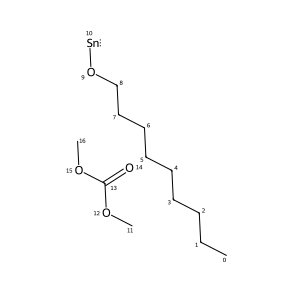 CCCCCCCCC[O][Sn].COC(=O)OC